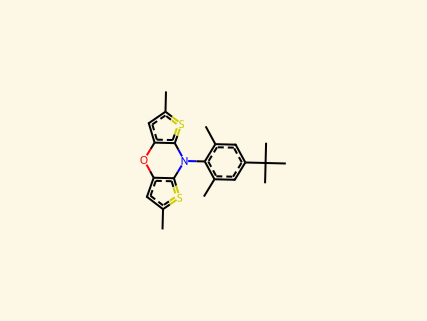 Cc1cc2c(s1)N(c1c(C)cc(C(C)(C)C)cc1C)c1sc(C)cc1O2